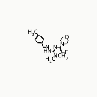 C=N/C(=N\C(=C(/C)F)N1CCOCC1)N/N=C/c1ccc(C)cc1